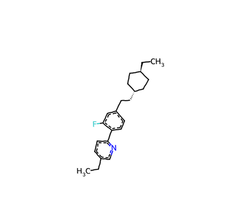 CCc1ccc(-c2ccc(CC[C@H]3CC[C@H](CC)CC3)cc2F)nc1